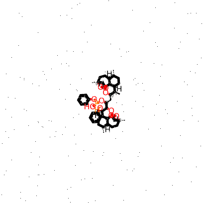 C[C@H]1[C@@H](C[C@H](O[PH](O)(Oc2ccccc2)Oc2ccccc2)C2O[C@@H]3C[C@]4(C)CC[C@H]5[C@H](C)CC[C@@H]([C@H]2C)[C@@]35OO4)O[C@@H]2C[C@]3(C)CC[C@H]4[C@H](C)CC[C@@H]1[C@@]24OO3